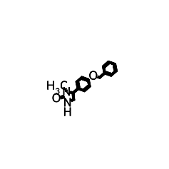 CN1C(=O)NCC1c1ccc(OCc2ccccc2)cc1